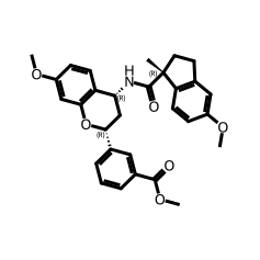 COC(=O)c1cccc([C@H]2C[C@@H](NC(=O)[C@]3(C)CCc4cc(OC)ccc43)c3ccc(OC)cc3O2)c1